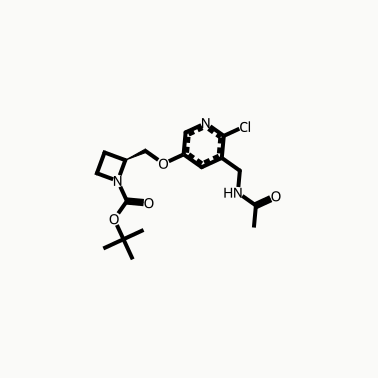 CC(=O)NCc1cc(OC[C@@H]2CCN2C(=O)OC(C)(C)C)cnc1Cl